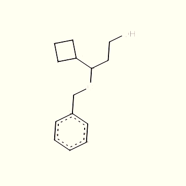 OCCC(OCc1ccccc1)C1CCC1